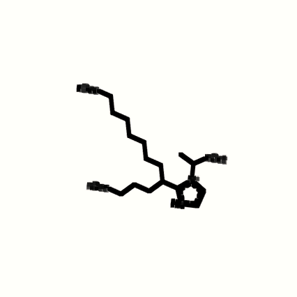 CCCCCCCCCCCCCCCCCC(CCCCCCCCCCCCC)c1[nH]cc[n+]1C(C)CCCCCCCC